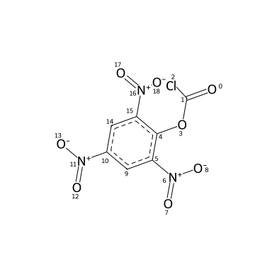 O=C(Cl)Oc1c([N+](=O)[O-])cc([N+](=O)[O-])cc1[N+](=O)[O-]